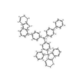 C1=CC2=C(CC1)c1ccccc1C2(c1ccccc1)c1ccc(N(c2ccc(-c3ccccc3)cc2)c2ccc(-c3cccc4c5c(sc34)CCC=C5)cc2)cc1